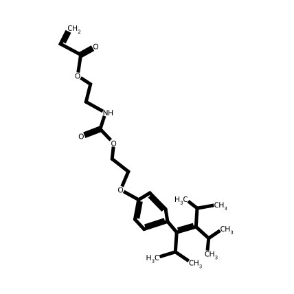 C=CC(=O)OCCNC(=O)OCCOc1ccc(C(=C(C(C)C)C(C)C)C(C)C)cc1